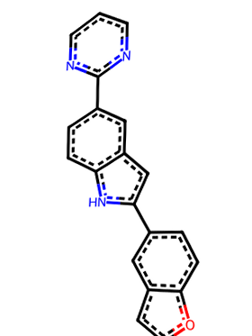 c1cnc(-c2ccc3[nH]c(-c4ccc5occc5c4)cc3c2)nc1